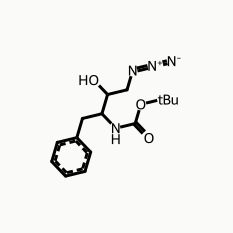 CC(C)(C)OC(=O)NC(Cc1ccccc1)C(O)CN=[N+]=[N-]